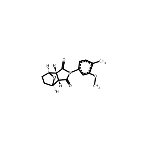 COc1cc(N2C(=O)[C@@H]3[C@H](C2=O)[C@H]2CC[C@@H]3O2)ccc1C